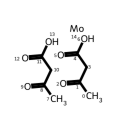 CC(=O)CC(=O)O.CC(=O)CC(=O)O.[Mo]